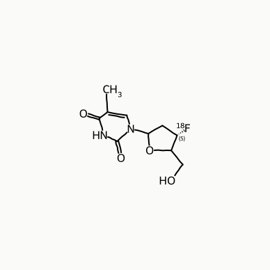 Cc1cn(C2C[C@H]([18F])C(CO)O2)c(=O)[nH]c1=O